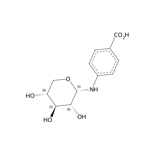 O=C(O)c1ccc(N[C@H]2OC[C@@H](O)[C@H](O)[C@H]2O)cc1